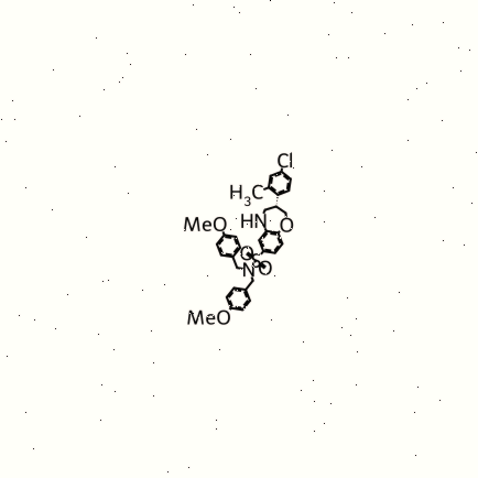 COc1ccc(CN(Cc2ccc(OC)cc2)S(=O)(=O)c2ccc3c(c2)NC[C@H](c2ccc(Cl)cc2C)CO3)cc1